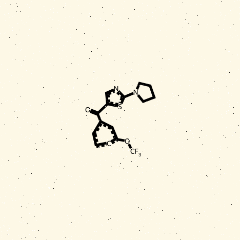 O=C(c1cccc(OC(F)(F)F)c1)c1cnc(N2CCCC2)s1